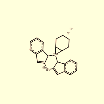 CC(C)(C)C1=Cc2ccccc2[CH]1[Zr+2]1([CH]2C(C(C)(C)C)=Cc3ccccc32)[CH]2CCCC[CH]21.[Cl-].[Cl-]